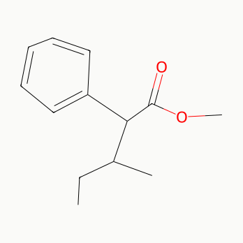 CCC(C)C(C(=O)OC)c1ccccc1